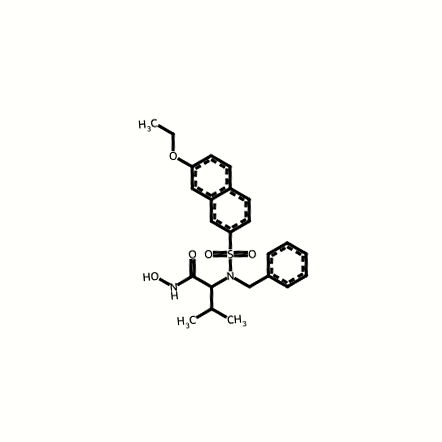 CCOc1ccc2ccc(S(=O)(=O)N(Cc3ccccc3)C(C(=O)NO)C(C)C)cc2c1